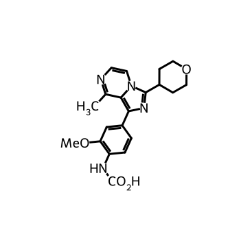 COc1cc(-c2nc(C3CCOCC3)n3ccnc(C)c23)ccc1NC(=O)O